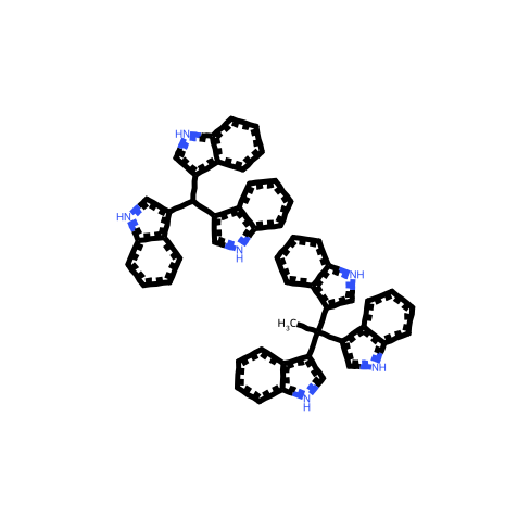 CC(c1c[nH]c2ccccc12)(c1c[nH]c2ccccc12)c1c[nH]c2ccccc12.c1ccc2c(C(c3c[nH]c4ccccc34)c3c[nH]c4ccccc34)c[nH]c2c1